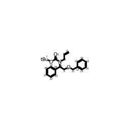 C=CCN(C(=O)OC(C)(C)C)C(COCc1ccccc1)c1ccccc1